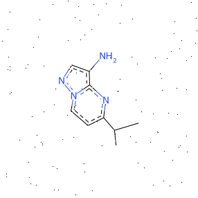 CC(C)c1ccn2ncc(N)c2n1